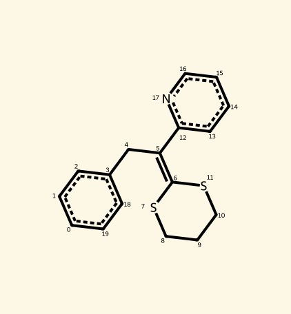 c1ccc(CC(=C2SCCCS2)c2ccccn2)cc1